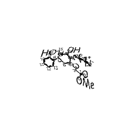 COC(=O)CO[C@H]1C[SH](c2ccccc2)[C@H](CO)[C@H](O)[C@@H]1N=[N+]=[N-]